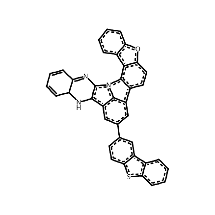 C1=CC2=Nc3c(c4cc(-c5ccc6sc7ccccc7c6c5)cc5c6ccc7oc8ccccc8c7c6n3c45)NC2C=C1